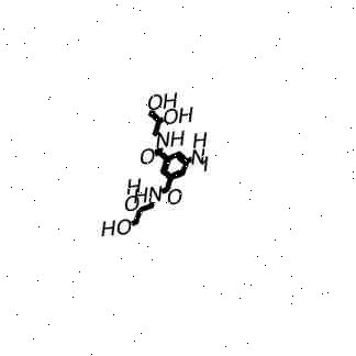 O=C(NCC(O)CO)c1cc(NI)cc(C(=O)NCC(O)CO)c1